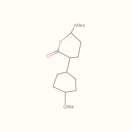 CCCCCCC1CCC(C2CCC(OC)CC2)C(=O)O1